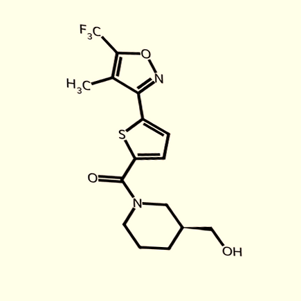 Cc1c(-c2ccc(C(=O)N3CCC[C@H](CO)C3)s2)noc1C(F)(F)F